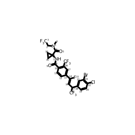 CN(CC(F)(F)F)C(=O)C1(NC(=O)c2ccc(C(F)=CC(c3ccc(Cl)c(Br)c3)C(F)(F)F)cc2C(F)(F)F)CC1